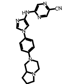 N#Cc1cnc(Nc2cn(-c3ccc(N4CCN5CCCC5C4)cc3)cn2)cn1